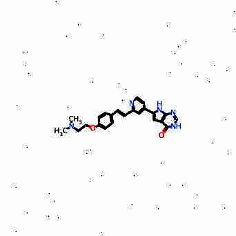 CN(C)CCOc1ccc(/C=C/c2cc(-c3cc4c(=O)[nH]cnc4[nH]3)ccn2)cc1